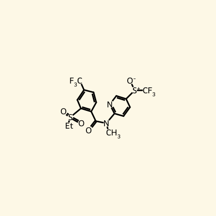 CCS(=O)(=O)c1cc(C(F)(F)F)ccc1C(=O)N(C)c1ccc([S+]([O-])C(F)(F)F)cn1